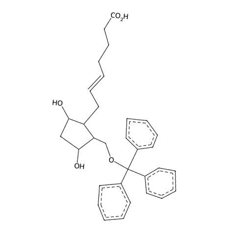 O=C(O)CCCC=CCC1C(O)CC(O)C1COC(c1ccccc1)(c1ccccc1)c1ccccc1